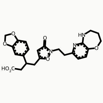 O=C(O)CC(Cc1cc(=O)n(CCc2ccc3c(n2)NCCCO3)o1)c1ccc2c(c1)OCO2